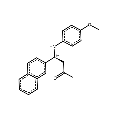 COc1ccc(N[C@@H](CC(C)=O)c2ccc3ccccc3c2)cc1